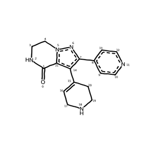 O=C1NCCn2nc(-c3ccncc3)c(C3=CCNCC3)c21